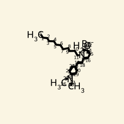 CCCCCCCCCCCC[n+]1ccccc1/C=C/c1ccc(N(CC)CC)cc1.O.[Br-]